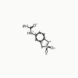 CC(C)C(=O)Nc1ccc2c(c1)CS(=O)(=O)C2